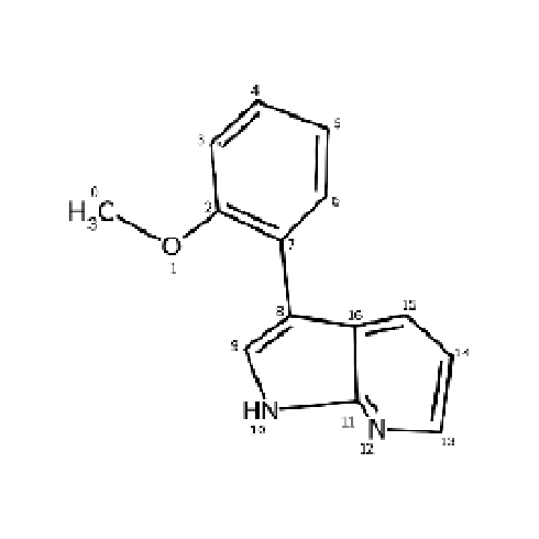 COc1[c]cccc1-c1c[nH]c2ncccc12